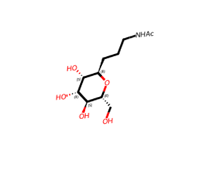 CC(=O)NCCC[C@H]1O[C@H](CO)[C@@H](O)[C@H](O)[C@@H]1O